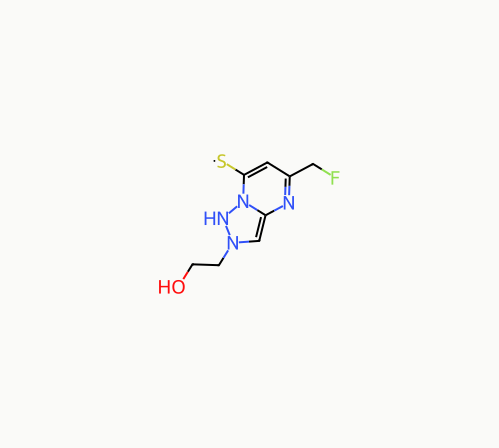 OCCN1C=C2N=C(CF)C=C([S])N2N1